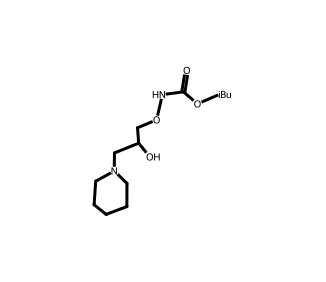 CCC(C)OC(=O)NOCC(O)CN1CCCCC1